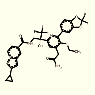 CCOc1c(CC(N)=O)cc([C@@](O)(CNC(=O)c2ccn3nc(C4CC4)cc3c2)C(F)(F)F)nc1-c1ccc2c(c1)OC(F)(F)O2